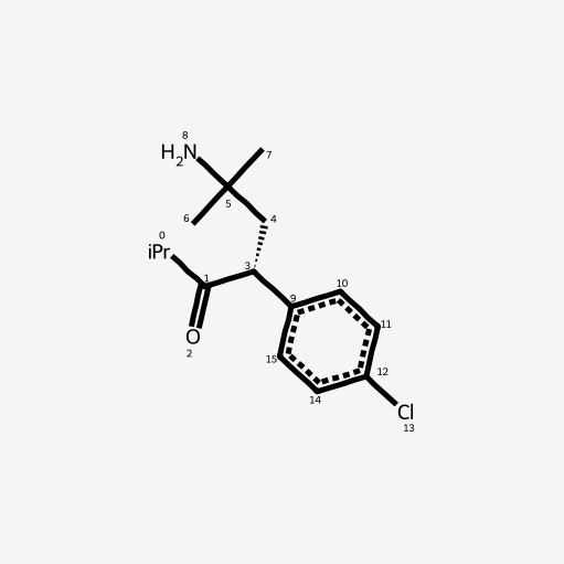 CC(C)C(=O)[C@H](CC(C)(C)N)c1ccc(Cl)cc1